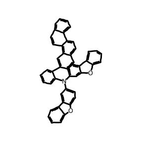 c1ccc(N(c2ccc3c(c2)oc2ccccc23)c2ccc3oc4ccccc4c3c2)c(-c2ccc3ccc4c5ccccc5ccc4c3c2)c1